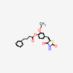 CCOc1cc(C=C2SC(=O)NC2=O)ccc1OC(=O)CCCc1ccccc1